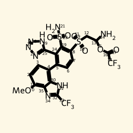 COc1ccc(-c2ccc(S(=O)(=O)CC(N)OC(=O)C(F)(F)F)c(S(N)(=O)=O)c2-c2nnn[nH]2)c2[nH]c(C(F)(F)F)nc12